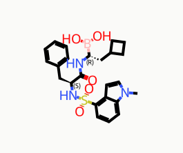 Cn1ccc2c(S(=O)(=O)N[C@@H](Cc3ccccc3)C(=O)N[C@@H](CC3CCC3)B(O)O)cccc21